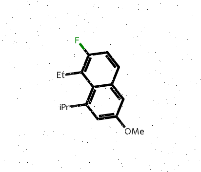 CCc1c(F)ccc2cc(OC)cc(C(C)C)c12